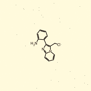 Nc1ccccc1-c1nc2ccccn2c1CCl